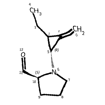 C=C1C(CC)[C@H]1N1CCC[C@H]1C=O